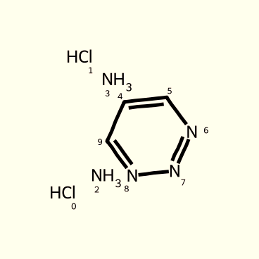 Cl.Cl.N.N.c1cnnnc1